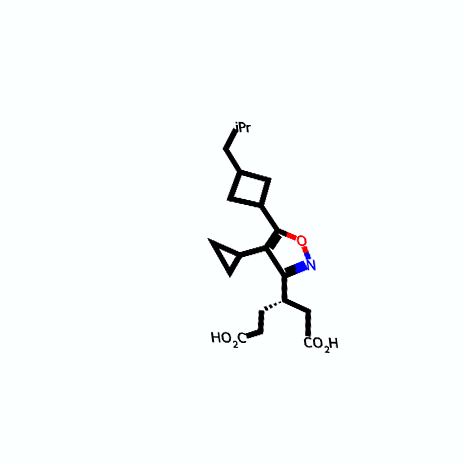 CC(C)CC1CC(c2onc([C@@H](CCC(=O)O)CC(=O)O)c2C2CC2)C1